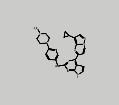 CN1CCN(c2ccc(Nc3nc(-c4ccn5ncc(C6CC6)c5n4)c4cc[nH]c4n3)cn2)CC1